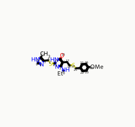 CCNc1nc(SCc2nc[nH]c2C)[nH]c(=O)c1CCSCc1ccc(OC)cc1